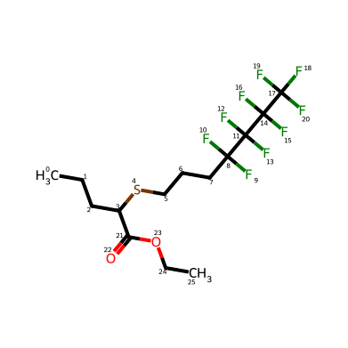 CCCC(SCCCC(F)(F)C(F)(F)C(F)(F)C(F)(F)F)C(=O)OCC